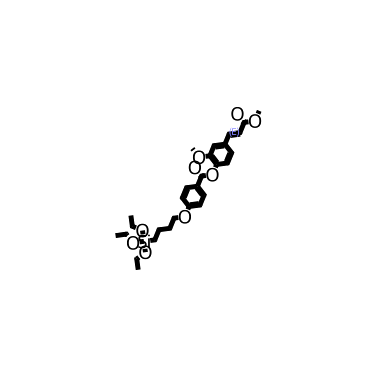 CCO[Si](CCCCOc1ccc(C(=O)Oc2ccc(/C=C/C(=O)OC)cc2OC)cc1)(OCC)OCC